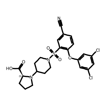 N#Cc1ccc(Oc2cc(Cl)cc(Cl)c2)c(S(=O)(=O)N2CCC(N3CCC[C@H]3C(=O)O)CC2)c1